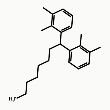 Cc1cccc(C(CCCCCCP)c2cccc(C)c2C)c1C